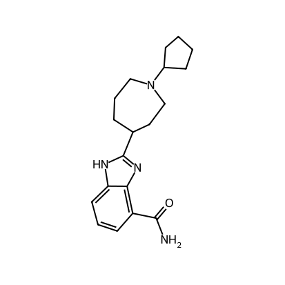 NC(=O)c1cccc2[nH]c(C3CCCN(C4CCCC4)CC3)nc12